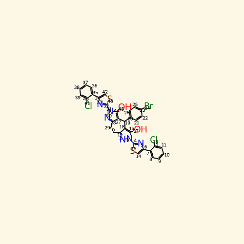 Cc1nn(-c2nc(-c3ccccc3Cl)cs2)c(O)c1C(c1ccc(Br)cc1)c1c(C)nn(-c2nc(-c3ccccc3Cl)cs2)c1O